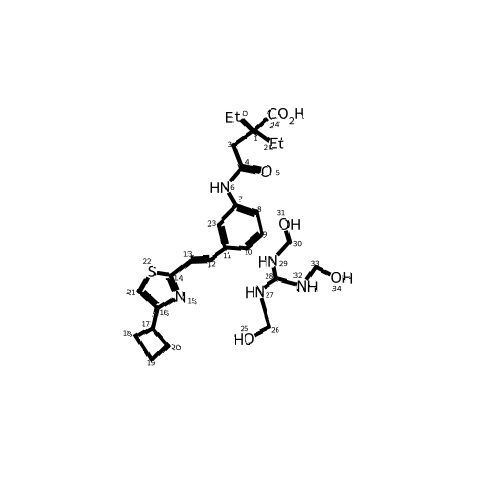 CCC(CC)(CC(=O)Nc1cccc(/C=C/c2nc(C3CCC3)cs2)c1)C(=O)O.OCNC(NCO)NCO